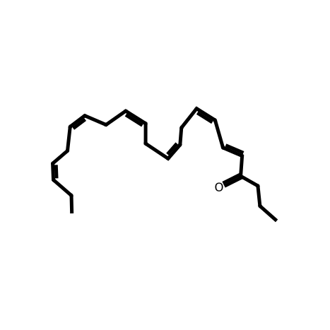 CC/C=C\C/C=C\C/C=C\C/C=C\C/C=C\C=C\C(=O)CCC